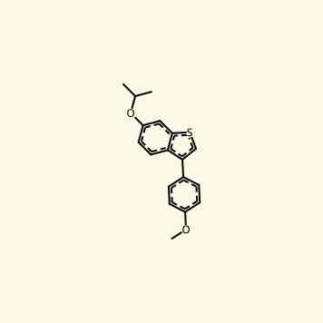 COc1ccc(-c2csc3cc(OC(C)C)ccc23)cc1